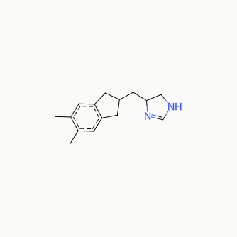 Cc1cc2c(cc1C)CC(CC1CNC=N1)C2